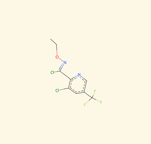 CCO/N=C(\Cl)c1ncc(C(F)(F)F)cc1Cl